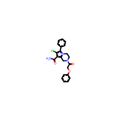 NC(=O)c1c(Cl)c(-c2ccccc2)n2c1CN(C(=O)COc1ccccc1)CC2